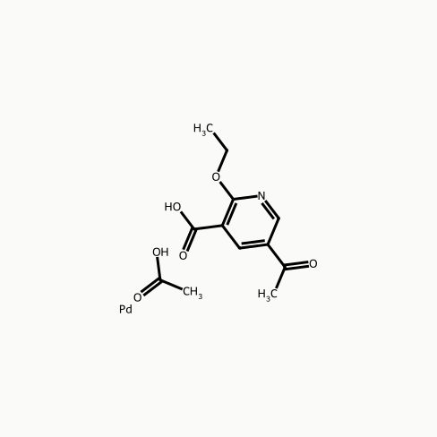 CC(=O)O.CCOc1ncc(C(C)=O)cc1C(=O)O.[Pd]